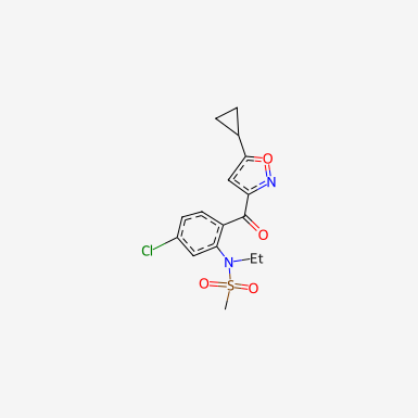 CCN(c1cc(Cl)ccc1C(=O)c1cc(C2CC2)on1)S(C)(=O)=O